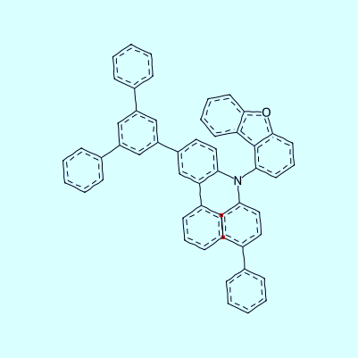 c1ccc(-c2ccc(N(c3ccc(-c4cc(-c5ccccc5)cc(-c5ccccc5)c4)cc3-c3ccccc3)c3cccc4oc5ccccc5c34)cc2)cc1